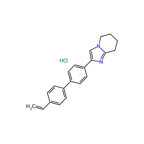 C=Cc1ccc(-c2ccc(-c3cn4c(n3)CCCC4)cc2)cc1.Cl